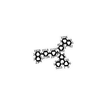 c1ccc(-c2ccc(N(c3ccc(-c4ccc(-c5cccc6ccccc56)cc4)cc3)c3ccc(-c4cccc5ccccc45)cc3)cc2-c2ccccc2)cc1